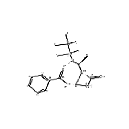 C[C@H](O[Si](C)(C)C(C)(C)C)[C@@H]1C(=O)N[C@@H]1CC(=S)c1ccccc1